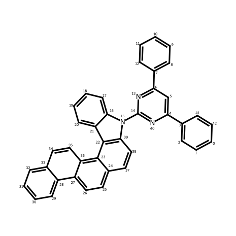 c1ccc(-c2cc(-c3ccccc3)nc(-n3c4ccccc4c4c5c(ccc6c7ccccc7ccc65)ccc43)n2)cc1